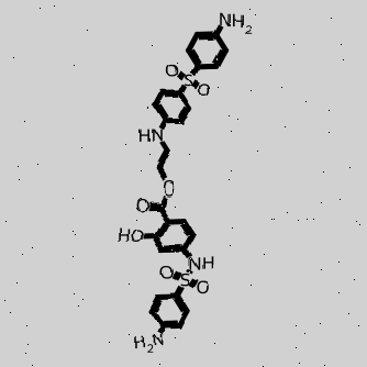 Nc1ccc(S(=O)(=O)Nc2ccc(C(=O)OCCNc3ccc(S(=O)(=O)c4ccc(N)cc4)cc3)c(O)c2)cc1